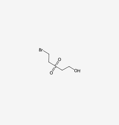 O=S(=O)(CCO)CCBr